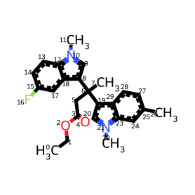 CCOC(=O)CC(C)(c1cn(C)c2ccc(F)cc12)c1cn(C)c2cc(C)ccc12